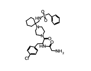 NCC(=O)NC(Cc1ccc(Cl)cc1)C(=O)N1CCN(C2(CNS(=O)(=O)Cc3ccccc3)CCCCC2)CC1